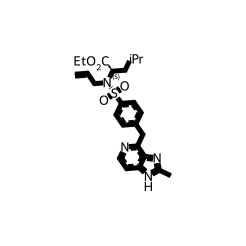 C=CCN([C@@H](CC(C)C)C(=O)OCC)S(=O)(=O)c1ccc(Cc2nccc3[nH]c(C)nc23)cc1